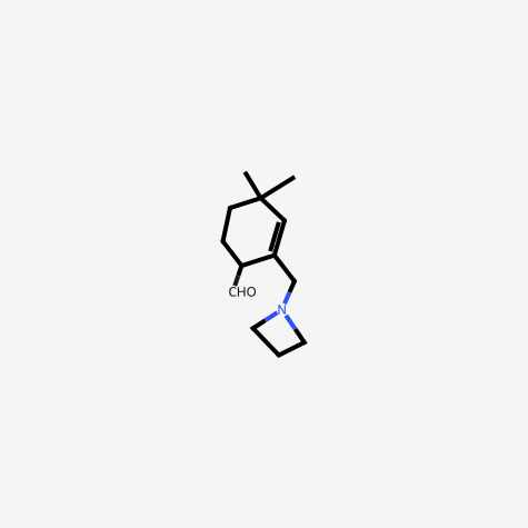 CC1(C)C=C(CN2CCC2)C(C=O)CC1